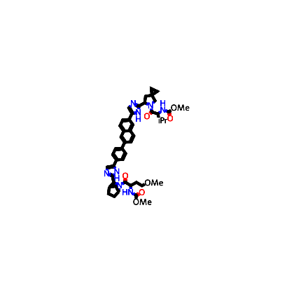 COCCC(NC(=O)OC)C(=O)N1C2CCC(C2)C1c1ncc(-c2ccc(-c3ccc4cc(-c5cnc(C6CC7(CC7)CN6C(=O)C(NC(=O)OC)C(C)C)[nH]5)ccc4c3)cc2)[nH]1